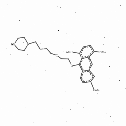 COc1ccc2c(OCCCCCCCN3CCNCC3)c3c(OC)ccc(OC)c3cc2c1